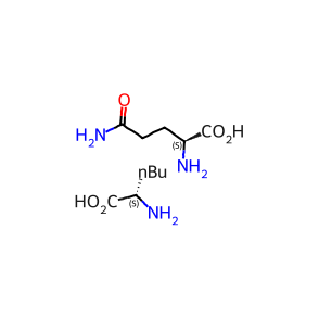 CCCC[C@H](N)C(=O)O.NC(=O)CC[C@H](N)C(=O)O